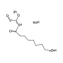 CCCCCCCCCCCCCCCCCC(=O)[SH]=C(OC(C)C)[S+]=O.[NaH]